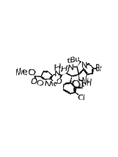 COC(=O)c1ccc(NC(=O)[C@@H]2N[C@@H](CC(C)(C)C)[C@@]3(C(=O)Nc4cc(Br)cnc43)[C@H]2c2cccc(Cl)c2F)c(OC)c1